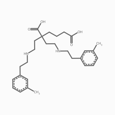 Cc1cccc(CCNCCC(CCCC(=O)O)(CCNCCc2cccc(C)c2)C(=O)O)c1